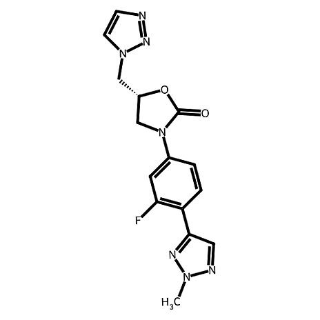 Cn1ncc(-c2ccc(N3C[C@H](Cn4ccnn4)OC3=O)cc2F)n1